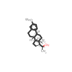 COc1ccc2c(c1)CC[C@@H]1[C@@H]2CC[C@@]2(C)[C@@H]1CC[C@@H]2[C@H](C)O